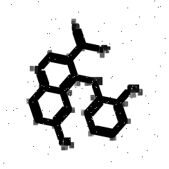 CCCC(=O)c1cnc2ccc(C)cc2c1Nc1ccccc1C